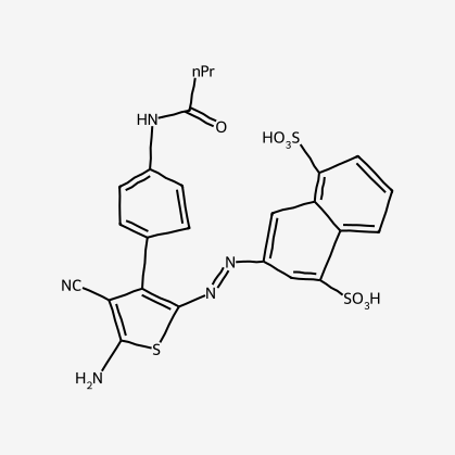 CCCC(=O)Nc1ccc(-c2c(/N=N/c3cc(S(=O)(=O)O)c4cccc(S(=O)(=O)O)c4c3)sc(N)c2C#N)cc1